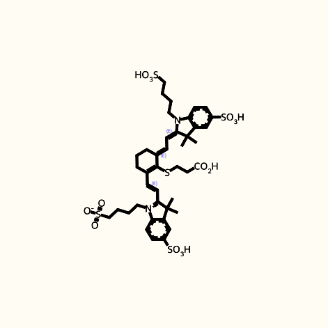 CC1(C)C(/C=C/C2=C(SCCC(=O)O)C(=C/C=C3/N(CCCCS(=O)(=O)O)c4ccc(S(=O)(=O)O)cc4C3(C)C)/CCC2)=[N+](CCCCS(=O)(=O)[O-])c2ccc(S(=O)(=O)O)cc21